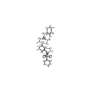 O=S(=O)(c1ccccc1)N1CCc2c(C3CCN(Cc4ccccc4)CC3)cccc21